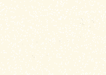 CC(C)S(=O)(=O)NC1CCC(C(=O)Nc2ccc(-n3ncnn3)cc2)CC1